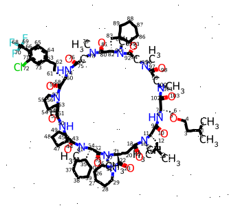 CC(C)CCOC[C@@H]1NC(=O)[C@H](CC(C)C)N(C)C(=O)C[C@@H](C(=O)N2CCCCC2)N(C)C(=O)[C@H](C2CCCCC2)N(C)C(=O)C2(CCCC2)NC(=O)[C@@H]2CCCN2C(=O)[C@H](CCc2ccc(C(F)(F)F)c(Cl)c2)NC(=O)CN(C)C(=O)[C@H](CC2CCCCC2)N(C)C(=O)CN(C)C(=O)CN(C)C1=O